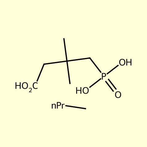 CC(C)(CC(=O)O)CP(=O)(O)O.CCCC